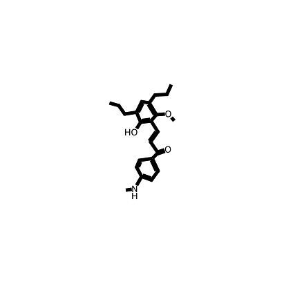 CCCc1cc(CCC)c(OC)c(/C=C/C(=O)c2ccc(NC)cc2)c1O